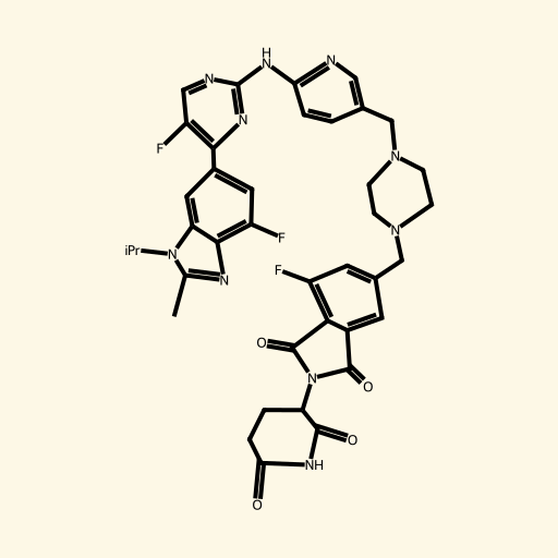 Cc1nc2c(F)cc(-c3nc(Nc4ccc(CN5CCN(Cc6cc(F)c7c(c6)C(=O)N(C6CCC(=O)NC6=O)C7=O)CC5)cn4)ncc3F)cc2n1C(C)C